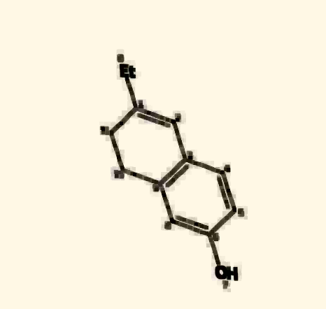 CCC1=Cc2ccc(O)cc2CC1